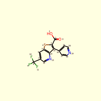 O=C(O)c1sc2cc(C(F)(F)F)cnc2c1-c1ccncc1